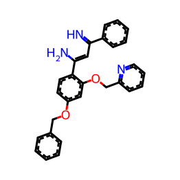 N=C(/C=C(\N)c1ccc(OCc2ccccc2)cc1OCc1ccccn1)c1ccccc1